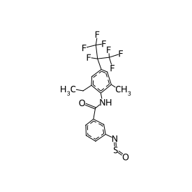 CCc1cc(C(F)(C(F)(F)F)C(F)(F)F)cc(C)c1NC(=O)c1cccc(N=S=O)c1